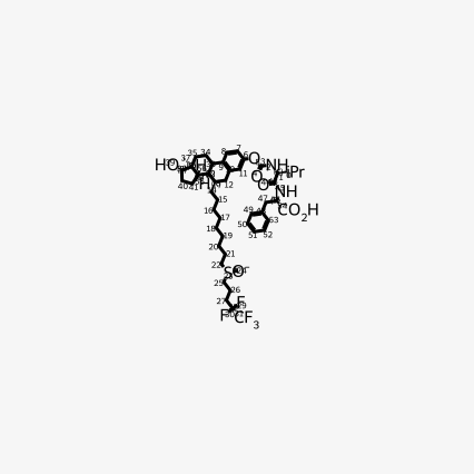 CC(C)[C@H](NC(=O)Oc1ccc2c(c1)C[C@@H](CCCCCCCCC[S+]([O-])CCCC(F)(F)C(F)(F)F)[C@@H]1C2CC[C@]2(C)[C@@H](O)CC[C@@H]12)C(=O)N[C@@H](Cc1ccccc1)C(=O)O